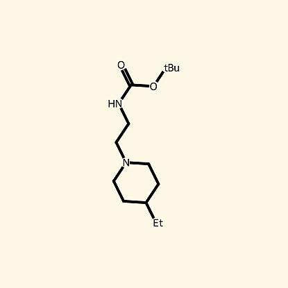 CCC1CCN(CCNC(=O)OC(C)(C)C)CC1